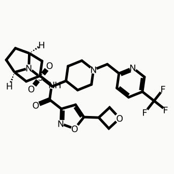 O=C(NC1C[C@H]2CC[C@@H](C1)N2S(=O)(=O)CC1CCN(Cc2ccc(C(F)(F)F)cn2)CC1)c1cc(C2COC2)on1